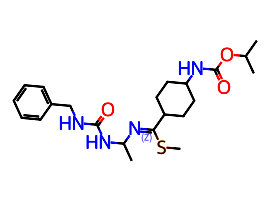 CS/C(=N\C(C)NC(=O)NCc1ccccc1)C1CCC(NC(=O)OC(C)C)CC1